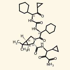 CC1(C)[C@@H]2[C@@H](C(=O)NC(C(=O)C(N)=O)C3CC3)N(C(=O)[C@@H](NC(=O)N[C@H](C(=O)C3CC3)C3CCCCC3)C3CCCCC3)C[C@@H]21